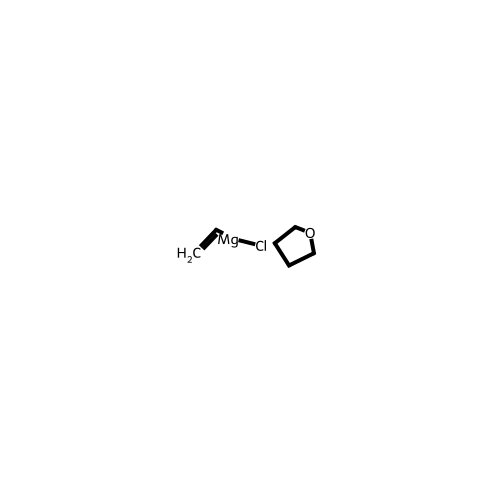 C1CCOC1.C=[CH][Mg][Cl]